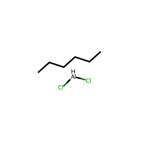 [CH2]CCCCC.[Cl][AlH][Cl]